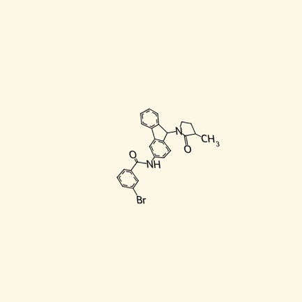 CC1CCN(C2c3ccccc3-c3cc(NC(=O)c4cccc(Br)c4)ccc32)C1=O